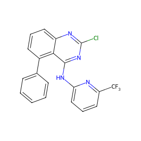 FC(F)(F)c1cccc(Nc2nc(Cl)nc3cccc(-c4ccccc4)c23)n1